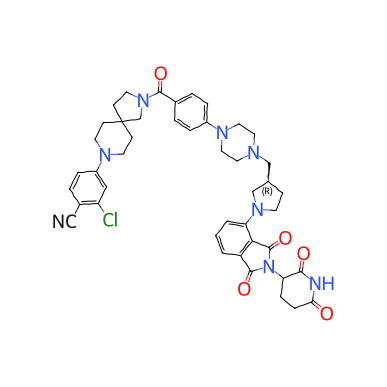 N#Cc1ccc(N2CCC3(CCN(C(=O)c4ccc(N5CCN(C[C@H]6CCN(c7cccc8c7C(=O)N(C7CCC(=O)NC7=O)C8=O)C6)CC5)cc4)C3)CC2)cc1Cl